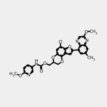 COc1ccc(NC(=O)OCC2COc3c(cc(Cl)c4oc(-c5cc(C)cc6nc(OC)cnc56)cc34)O2)cn1